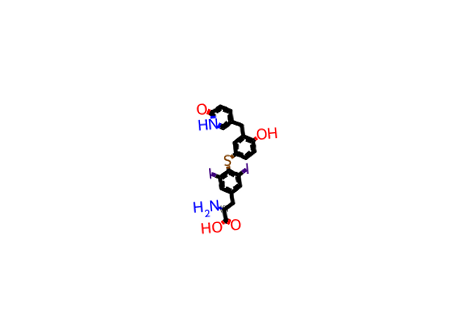 N[C@@H](Cc1cc(I)c(Sc2ccc(O)c(Cc3ccc(=O)[nH]c3)c2)c(I)c1)C(=O)O